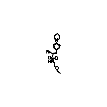 CCOCCNS(=O)(=O)/C(C#N)=C/c1ccc(N2CCCCC2)cc1